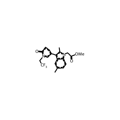 COC(=O)Cn1c(C)c(-c2ccc(=O)n(CC(F)(F)F)c2)c2cc(C)ccc21